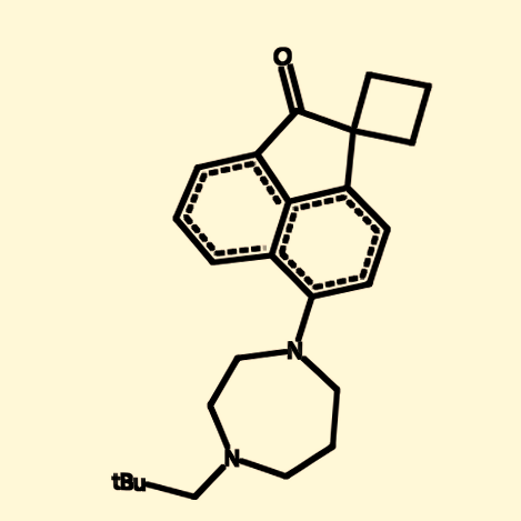 CC(C)(C)CN1CCCN(c2ccc3c4c(cccc24)C(=O)C32CCC2)CC1